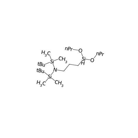 CCCO[SiH](CCCN([Si](C)(C)C(C)(C)C)[Si](C)(C)C(C)(C)C)OCCC